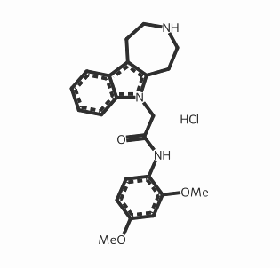 COc1ccc(NC(=O)Cn2c3c(c4ccccc42)CCNCC3)c(OC)c1.Cl